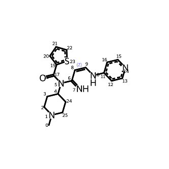 CN1CCC(N(C(=N)/C=C\Nc2ccncc2)C(=O)c2cccs2)CC1